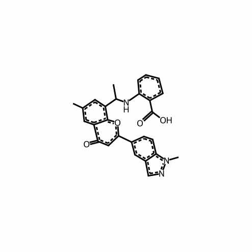 Cc1cc(C(C)Nc2ccccc2C(=O)O)c2oc(-c3ccc4c(cnn4C)c3)cc(=O)c2c1